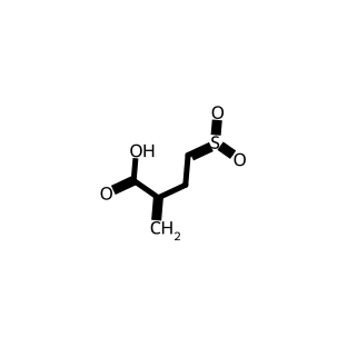 C=C(CC=S(=O)=O)C(=O)O